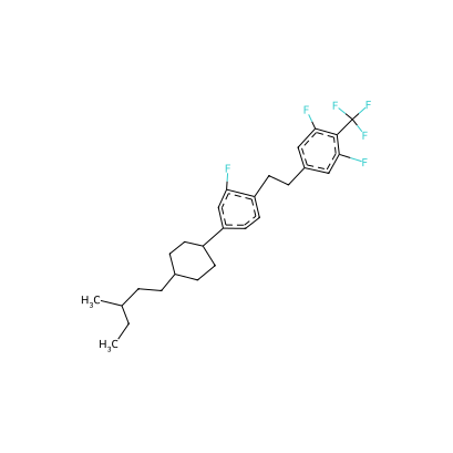 CCC(C)CCC1CCC(c2ccc(CCc3cc(F)c(C(F)(F)F)c(F)c3)c(F)c2)CC1